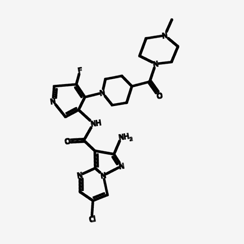 CN1CCN(C(=O)C2CCN(c3c(F)cncc3NC(=O)c3c(N)nn4cc(Cl)cnc34)CC2)CC1